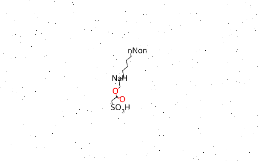 CCCCCCCCCCCCCCCCOC(=O)CS(=O)(=O)O.[NaH]